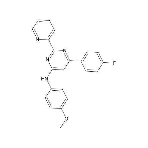 COc1ccc(Nc2cc(-c3ccc(F)cc3)nc(-c3ccccn3)n2)cc1